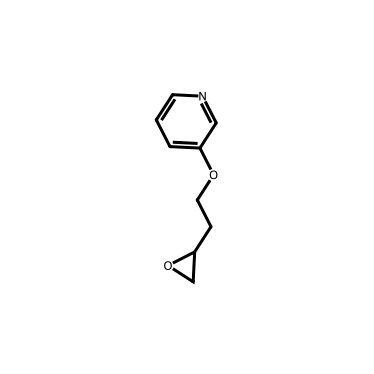 c1cncc(OCCC2CO2)c1